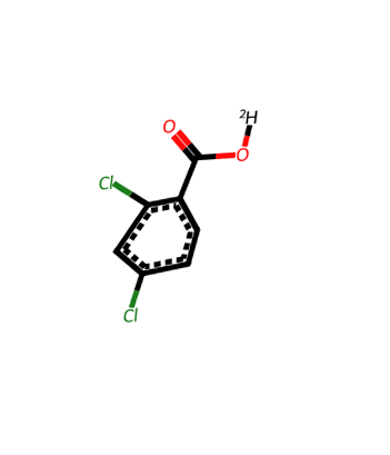 [2H]OC(=O)c1ccc(Cl)cc1Cl